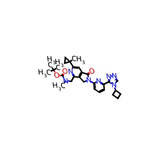 CN(Cc1nc(C2(C)CC2)cc2c1CN(c1cccc(-c3nncn3C3CCC3)n1)C2=O)C(=O)OC(C)(C)C